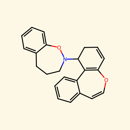 C1=CC2=C(c3ccccc3C=CO2)C(N2CCCc3ccccc3O2)C1